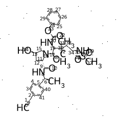 C#Cc1ccc([C@H](C)NC(=O)[C@@H]2C[C@@H](O)CN2C(=O)[C@@H](NC(=O)Oc2ccccc2)C(C)(C)CCNS(C)(=O)=O)cc1